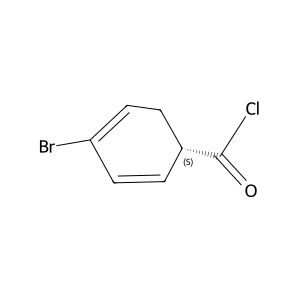 O=C(Cl)[C@@H]1C=CC(Br)=CC1